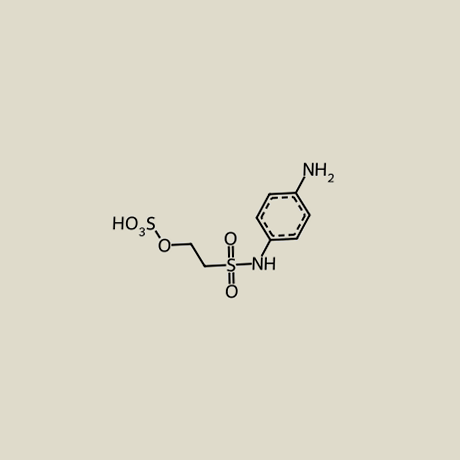 Nc1ccc(NS(=O)(=O)CCOS(=O)(=O)O)cc1